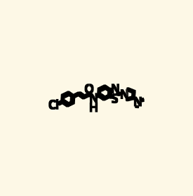 CN(C)C1CCN(c2nc3ccc(NC(=O)/C=C/c4ccc(Cl)cc4)cc3s2)C1